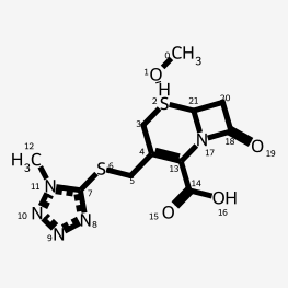 CO[SH]1CC(CSc2nnnn2C)=C(C(=O)O)N2C(=O)CC21